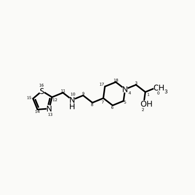 CC(O)CN1CCC(CCNCc2nccs2)CC1